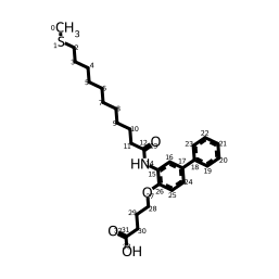 CSCCCCCCCCCCC(=O)Nc1cc(-c2ccccc2)ccc1OCCCC(=O)O